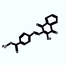 COC(=O)c1ccc(N=NC2=C(O)C(=O)c3ccccc3C2=O)cc1